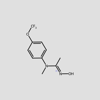 C/C(=N\O)N(C)c1ccc(OC(F)(F)F)cc1